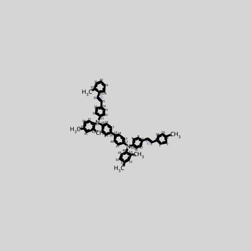 Cc1ccc(/C=C/c2ccc(N(c3ccc(-c4ccc(N(c5ccc(/C=C/c6ccccc6C)cc5)c5ccc(C)cc5C)cc4)cc3)c3ccc(C)cc3C)cc2)cc1